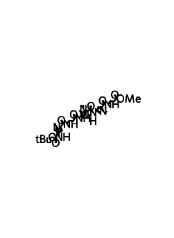 COC(=O)CCNC(=O)c1cc(NC(=O)c2nc(NC(=O)CCNC(=O)c3cc(NC(=O)OC(C)(C)C)cn3C)cn2C)cn1C